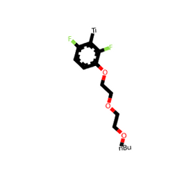 CCCCOCCOCCOc1ccc(F)[c]([Ti])c1F